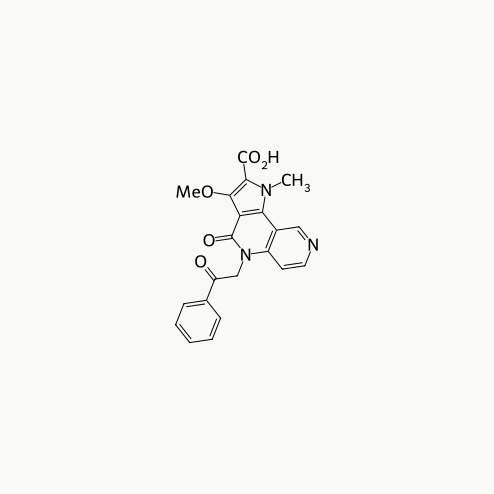 COc1c(C(=O)O)n(C)c2c1c(=O)n(CC(=O)c1ccccc1)c1ccncc21